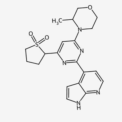 CC1COCCN1c1cc(C2CCCS2(=O)=O)nc(-c2ccnc3[nH]ccc23)n1